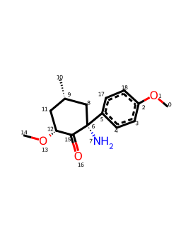 COc1ccc([C@]2(N)C[C@@H](C)C[C@@H](OC)C2=O)cc1